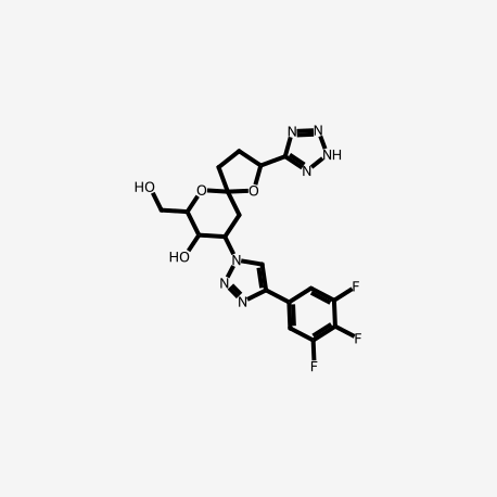 OCC1OC2(CCC(c3nn[nH]n3)O2)CC(n2cc(-c3cc(F)c(F)c(F)c3)nn2)C1O